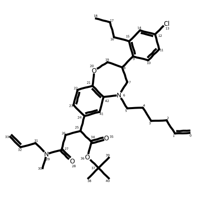 C=CCCCCN1CC(c2ccc(Cl)cc2CCC)COc2ccc(C(CC(=O)N(C)CC=C)C(=O)OC(C)(C)C)cc21